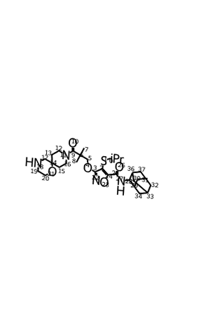 CC(C)Sc1c(OCC(C)(C)C(=O)N2CCC3(CC2)CNCCO3)noc1C(=O)NC1C2CC3CC(C2)CC1C3